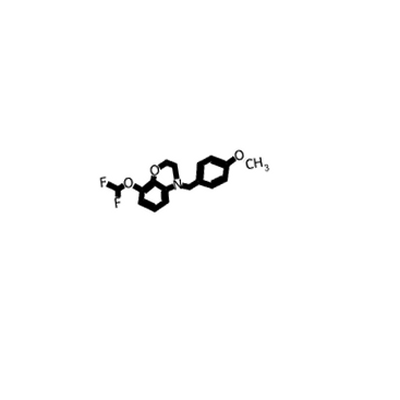 COc1ccc(CN2CCOc3c(OC(F)F)cccc32)cc1